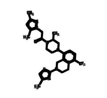 Cc1cc(C)n(CC(=O)N2CCN(c3ccc(C(F)(F)F)c4c3CN(c3nc(C(F)(F)F)cs3)CC4)CC2C)n1